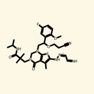 COc1ccc(F)cc1C(CN1CN(CC(C)(C)C(=O)NC(C)C)C(=O)c2c1sc(N/N=C\C=N)c2C)OCCC#N